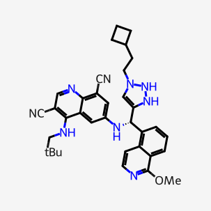 COc1nccc2c([C@H](Nc3cc(C#N)c4ncc(C#N)c(NCC(C)(C)C)c4c3)C3=CN(CCC4CCC4)NN3)cccc12